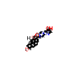 C[C@]12CCC(=O)C=C1CC[C@@H]1C2=CC[C@@]2(C)[C@H]1CC[C@]2(O)C(=O)CN1CCN(Cc2ncccc2O)CC1